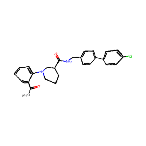 COC(=O)c1ccccc1N1CCCC(C(=O)NCc2ccc(-c3ccc(Cl)cc3)cc2)C1